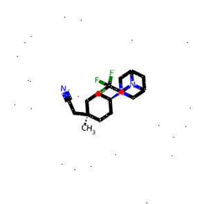 C[C@]1(CC#N)CC[C@@H](N2CC3CC(C2)N3CC(F)(F)F)CC1